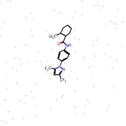 CC1CCCCC1C(=O)Nc1ccc(-n2nc(C(F)(F)F)cc2C(F)(F)F)cc1